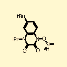 CC(C)n1c(=O)c(=O)n(O[SiH](C)C)c2ccc(C(C)(C)C)cc21